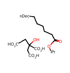 CCCCCCCCCCCCCCCC(=O)OC(C)C.O=C(O)CC(O)(CC(=O)O)C(=O)O